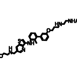 CC(=O)NCCNCCCOc1cccc(-c2cccc(Nc3csc4cc(CNCCO)cnc34)c2C)c1